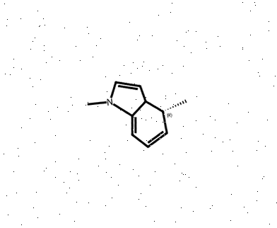 C[C@@H]1C=CC=C2C1C=CN2C